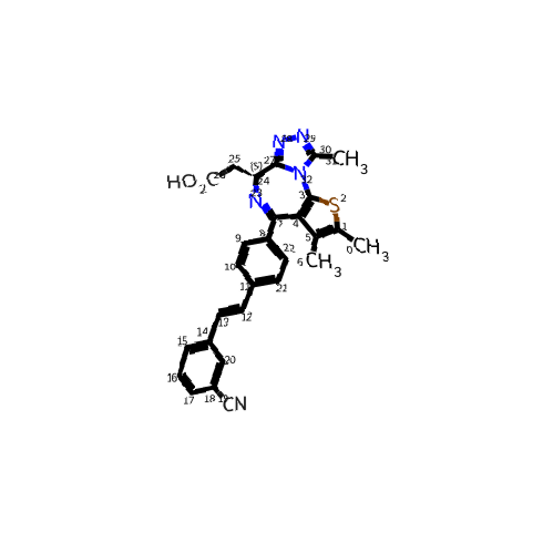 Cc1sc2c(c1C)C(c1ccc(C=Cc3cccc(C#N)c3)cc1)=N[C@@H](CC(=O)O)c1nnc(C)n1-2